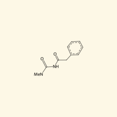 CNC(=O)NC(=O)Cc1ccccc1